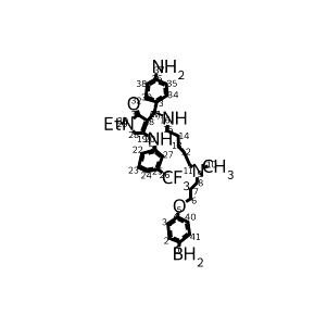 Bc1ccc(OCCCN(C)CCCCCN[C@@H](C2=C(Nc3cccc(C(F)(F)F)c3)CN(CC)C2=O)c2ccc(N)cc2)cc1